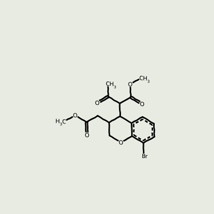 COC(=O)CC1COc2c(Br)cccc2C1C(C(C)=O)C(=O)OC